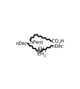 CCCCC/C=C\C/C=C\CCCCCCCC(=O)O.CCCCCCCCCCCCCCCC[N+](C)(C)CCCCCCCCCCCCCCCC